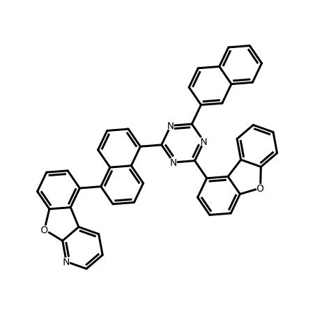 c1ccc2cc(-c3nc(-c4cccc5c(-c6cccc7oc8ncccc8c67)cccc45)nc(-c4cccc5oc6ccccc6c45)n3)ccc2c1